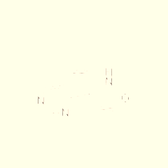 C1=Cc2c(ccc3cncnc23)NO1